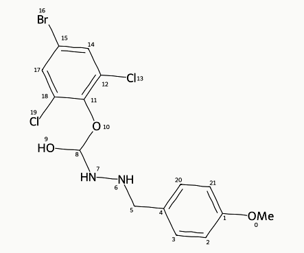 COc1ccc(CNNC(O)Oc2c(Cl)cc(Br)cc2Cl)cc1